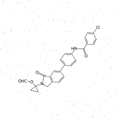 O=COC1(N2Cc3ccc(-c4ccc(NC(=O)c5ccc(Cl)cc5)cc4)cc3C2=O)CC1